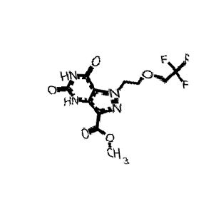 COC(=O)c1nn(CCOCC(F)(F)F)c2c(=O)[nH]c(=O)[nH]c12